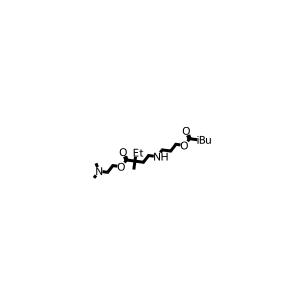 CCC(C)C(=O)OCCCNCCC(C)(CC)C(=O)OCCN(C)C